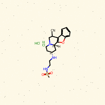 CS(=O)(=O)NCCN[C@@H]1CCN2CC(C#N)c3c(oc4ccccc34)[C@@H]2C1.Cl.Cl